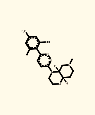 Cc1cc(C(F)(F)F)cc(O)c1-c1ccc(N2CCO[C@H]3CCN(C)C[C@H]32)nn1